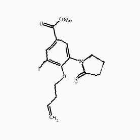 C=CCCOc1c(I)cc(C(=O)OC)cc1N1CCCC1=O